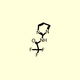 O=C(Nc1ncccn1)C(F)(F)F